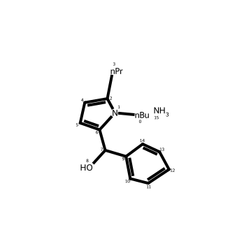 CCCCn1c(CCC)ccc1C(O)c1ccccc1.N